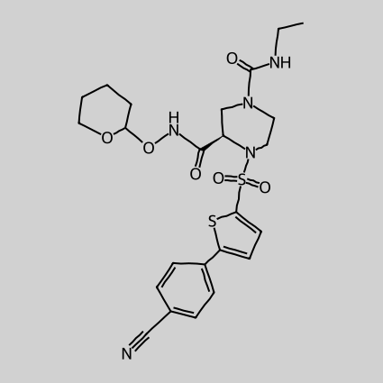 CCNC(=O)N1CCN(S(=O)(=O)c2ccc(-c3ccc(C#N)cc3)s2)[C@@H](C(=O)NOC2CCCCO2)C1